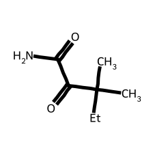 CCC(C)(C)C(=O)C(N)=O